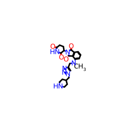 CN(Cc1cn(CC2CCNCC2)nn1)c1cccc2c1C(=O)N(C1CCC(=O)NC1=O)C2=O